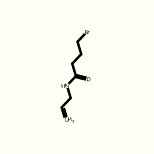 C=CCNC(=O)CCCBr